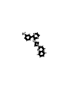 Brc1cccc(-c2nccnc2OC2CN(c3ccc4ccccc4n3)C2)c1